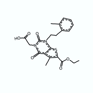 CCOC(=O)c1sc2c(c1C)c(=O)n(CC(=O)O)c(=O)n2CCc1ccccc1C